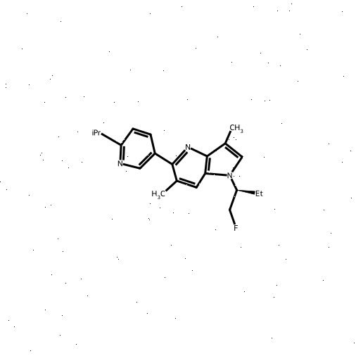 CC[C@@H](CF)n1cc(C)c2nc(-c3ccc(C(C)C)nc3)c(C)cc21